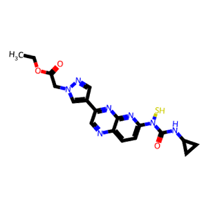 CCOC(=O)Cn1cc(-c2cnc3ccc(N(S)C(=O)NC4CC4)nc3n2)cn1